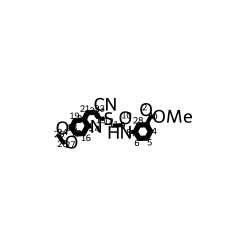 COC(=O)c1cccc(NC(=O)CSc2nc3cc4c(cc3cc2C#N)OCCO4)c1